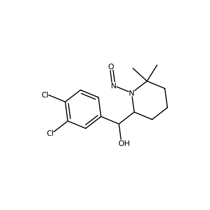 CC1(C)CCCC(C(O)c2ccc(Cl)c(Cl)c2)N1N=O